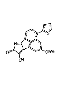 COc1cc2c3c(ccc(-c4cccs4)c3c1)C1=NC(=O)C(C#N)=C12